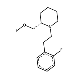 Fc1ccccc1CCN1CCCC[C@H]1COI